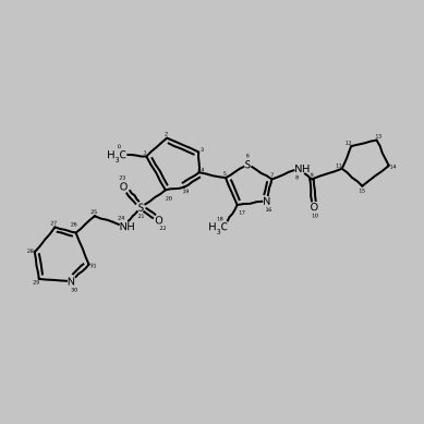 Cc1ccc(-c2sc(NC(=O)C3CCCC3)nc2C)cc1S(=O)(=O)NCc1cccnc1